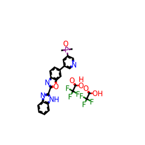 CP(C)(=O)c1cncc(-c2ccc3nc(-c4nc5ccccc5[nH]4)oc3c2)c1.O=C(O)C(F)(F)F.O=C(O)C(F)(F)F